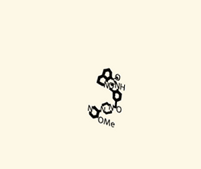 COc1ccncc1N1CCN(C(=O)c2ccc(NS(=O)(=O)c3cccc4cccnc34)c(C)c2)CC1